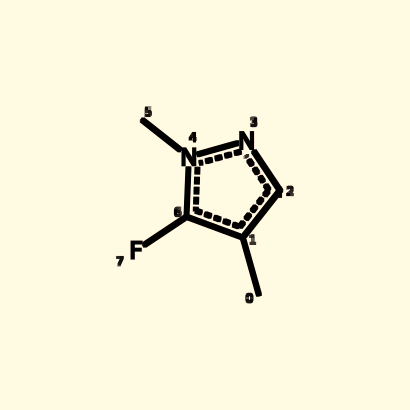 Cc1[c]nn(C)c1F